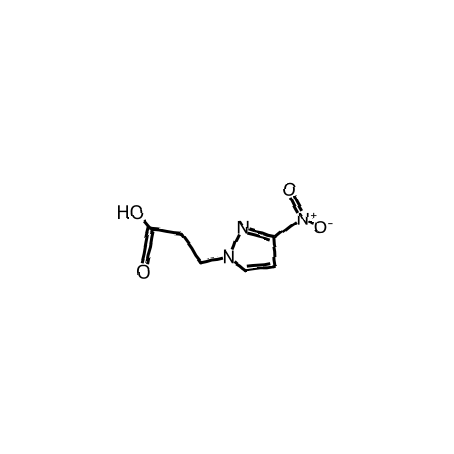 O=C(O)CCn1ccc([N+](=O)[O-])n1